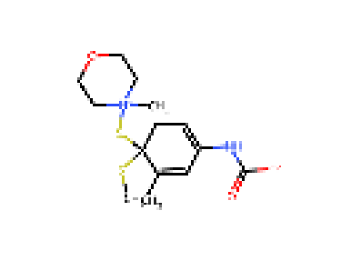 CSC1(S[N+]2(C)CCOCC2)CC=C(NC(=O)[O-])C=C1C